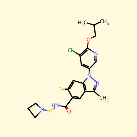 Cc1nn(-c2cnc(OCC(C)C)c(Cl)c2)c2cc(F)c(C(=O)NSN3CCC3)cc12